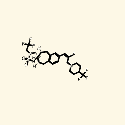 O=S1(=O)N[C@@]2(CN1CC(F)(F)F)[C@@H]1CC[C@H]2Cc2ccc(/C=C(/F)CN3CCC(C(F)(F)F)CC3)cc2C1